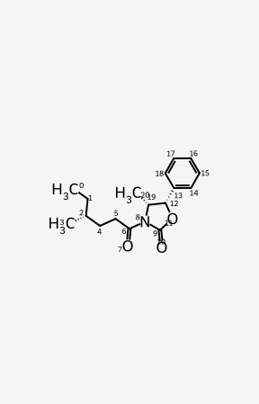 CC[C@@H](C)CCC(=O)N1C(=O)O[C@@H](c2ccccc2)[C@H]1C